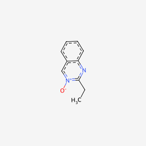 CCc1nc2ccccc2c[n+]1[O-]